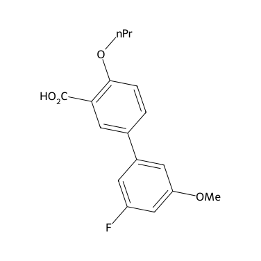 CCCOc1ccc(-c2cc(F)cc(OC)c2)cc1C(=O)O